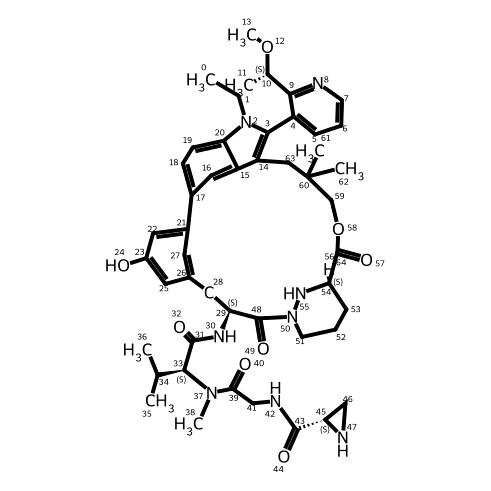 CCn1c(-c2cccnc2[C@H](C)OC)c2c3cc(ccc31)-c1cc(O)cc(c1)C[C@H](NC(=O)[C@H](C(C)C)N(C)C(=O)CNC(=O)[C@@H]1CN1)C(=O)N1CCC[C@H](N1)C(=O)OCC(C)(C)C2